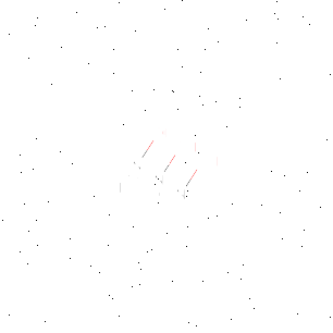 O=[N+]([O-])O.O=[N+]([O-])O.O=[N+]([O-])O.[Er]